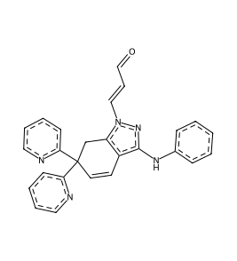 O=CC=Cn1nc(Nc2ccccc2)c2c1CC(c1ccccn1)(c1ccccn1)C=C2